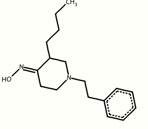 CCCCC1CN(CCc2ccccc2)CC/C1=N\O